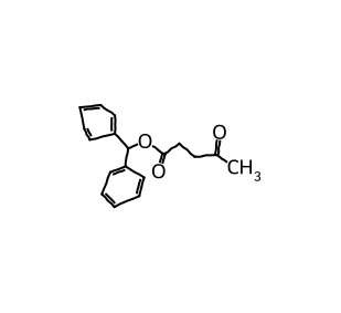 CC(=O)CCC(=O)OC(c1ccccc1)c1ccccc1